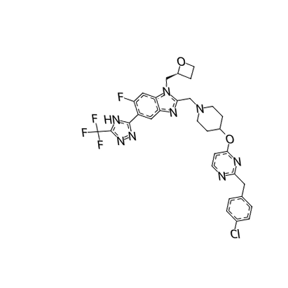 Fc1cc2c(cc1-c1nnc(C(F)(F)F)[nH]1)nc(CN1CCC(Oc3ccnc(Cc4ccc(Cl)cc4)n3)CC1)n2C[C@@H]1CCO1